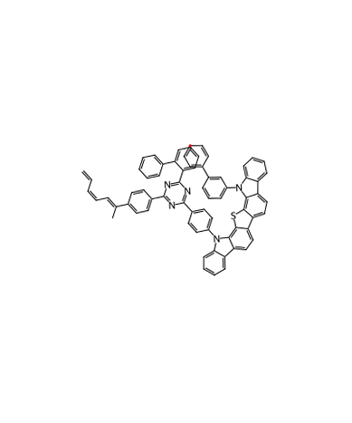 C=C/C=C\C=C(/C)c1ccc(-c2nc(-c3ccc(-n4c5ccccc5c5ccc6c7ccc8c9ccccc9n(-c9cccc(-c%10ccccc%10)c9)c8c7sc6c54)cc3)nc(-c3ccccc3-c3ccccc3)n2)cc1